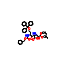 COC(CCC(N)(C(=O)O)C(=O)C(CCOC(c1ccccc1)(c1ccccc1)c1ccccc1)NC(=O)OCc1ccccc1)OC